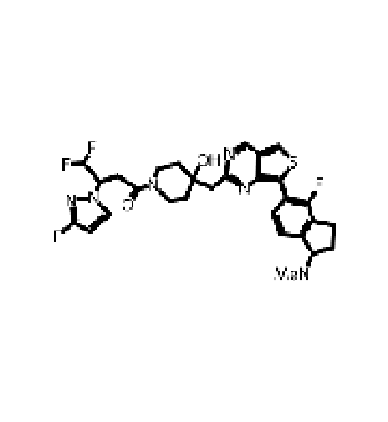 CNC1CCc2c1ccc(-c1scc3cnc(CC4(O)CCN(C(=O)CC(C(F)F)n5ccc(F)n5)CC4)nc13)c2F